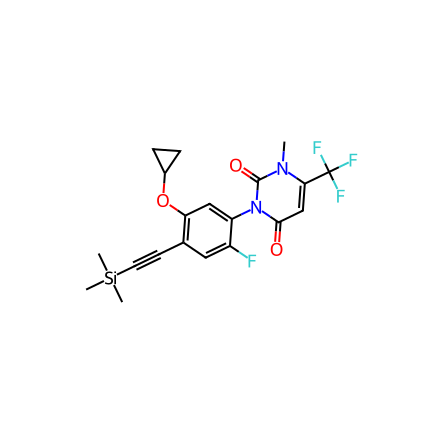 Cn1c(C(F)(F)F)cc(=O)n(-c2cc(OC3CC3)c(C#C[Si](C)(C)C)cc2F)c1=O